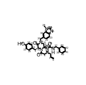 C=CCN1CC(=O)N2[C@@H](Cc3ccc(O)cc3)C(=O)N(Cc3ccc4nnn(C)c4c3)C[C@@H]2N1C(=O)NCc1ccccc1